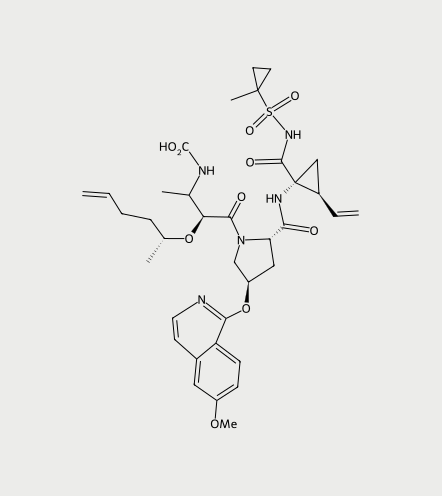 C=CCC[C@@H](C)O[C@H](C(=O)N1C[C@H](Oc2nccc3cc(OC)ccc23)C[C@H]1C(=O)N[C@]1(C(=O)NS(=O)(=O)C2(C)CC2)C[C@H]1C=C)C(C)NC(=O)O